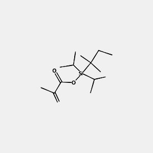 C=C(C)C(=O)O[Si](C(C)C)(C(C)C)C(C)(C)CC